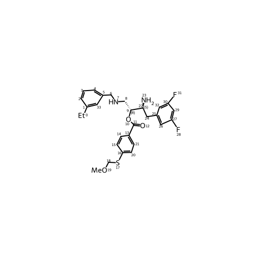 CCc1cccc(CNC[C@@H](OC(=O)c2ccc(SCOC)cc2)[C@@H](N)Cc2cc(F)cc(F)c2)c1